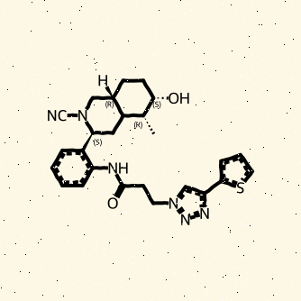 C[C@@H]1C2C[C@@H](c3ccccc3NC(=O)CCn3cc(-c4cccs4)nn3)N(C#N)C[C@@H]2CC[C@@H]1O